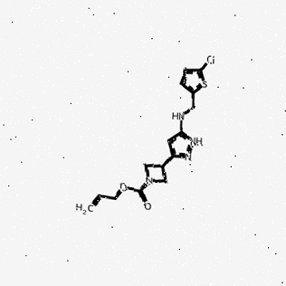 C=CCOC(=O)N1CC(c2cc(NCc3ccc(Cl)s3)[nH]n2)C1